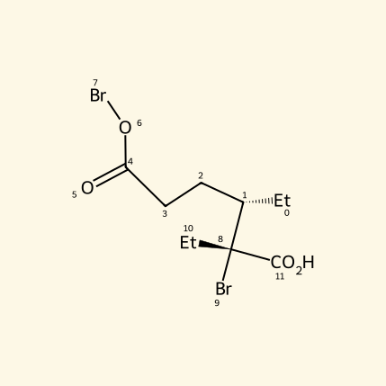 CC[C@@H](CCC(=O)OBr)[C@](Br)(CC)C(=O)O